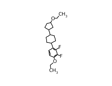 CCOc1ccc(C2CCC(C3CCC(OCC)C3)CC2)c(F)c1F